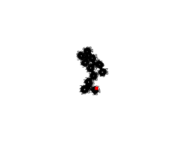 c1ccc(-c2cccc(N(c3cccc(-c4cccc(-c5ccc6c7ccccc7n(-c7ccccc7)c6c5)c4)c3)c3ccc4c(c3)C(c3ccccc3)(c3ccccc3)c3ccccc3-4)c2)cc1